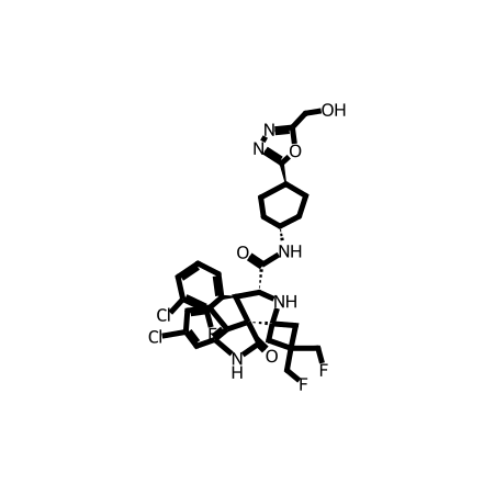 O=C(N[C@H]1CC[C@H](c2nnc(CO)o2)CC1)[C@@H]1NC2(CC(CF)(CF)C2)[C@@]2(C(=O)Nc3cc(Cl)ccc32)[C@H]1c1cccc(Cl)c1F